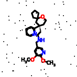 COc1cc(CNCC[C@@]2(c3ccccn3)CCOC3(CCCC3)C2)cnc1OC